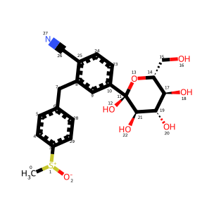 C[S+]([O-])c1ccc(Cc2cc([C@]3(O)O[C@H](CO)[C@@H](O)[C@H](O)[C@H]3O)ccc2C#N)cc1